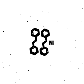 [Ni].c1ccc(CCc2ccccc2)cc1.c1ccc(CCc2ccccc2)cc1